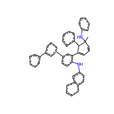 CC1(Nc2ccccc2)C=CC=C(c2cc(-c3cccc(-c4ccccc4)c3)ccc2Nc2ccc3ccccc3c2)C1c1ccccc1